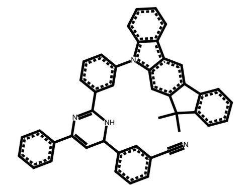 CC1(C)c2ccccc2-c2cc3c4ccccc4n(-c4cccc(C5=NC(c6ccccc6)=CC(c6cccc(C#N)c6)N5)c4)c3cc21